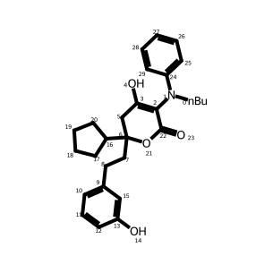 CCCCN(C1=C(O)CC(CCc2cccc(O)c2)(C2CCCC2)OC1=O)c1ccccc1